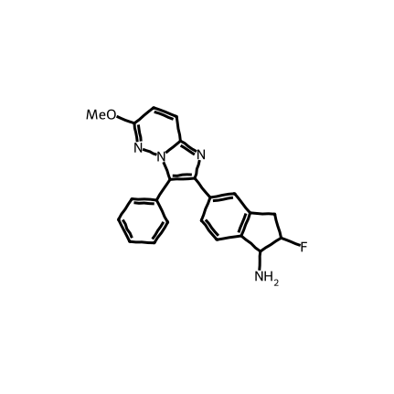 COc1ccc2nc(-c3ccc4c(c3)CC(F)C4N)c(-c3ccccc3)n2n1